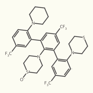 [O-][S+]1CCN(c2c(-c3cc(C(F)(F)F)c[c]c3N3CCSCC3)cc(C(F)(F)F)cc2-c2cc(C(F)(F)F)ccc2N2CCCCC2)CC1